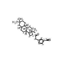 C[C@@]1(O)CC[C@H]2[C@@H](CC[C@@H]3[C@@H]2CC[C@]2(C)[C@H](C(=O)Cn4cc(C#N)cn4)C[C@@H]32)C1